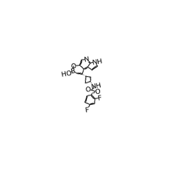 O=S(=O)(N[C@H]1C[C@@H](C2=CB(O)Oc3cnc4[nH]ccc4c32)C1)c1ccc(F)cc1F